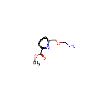 COC(=O)c1cccc(COCN)n1